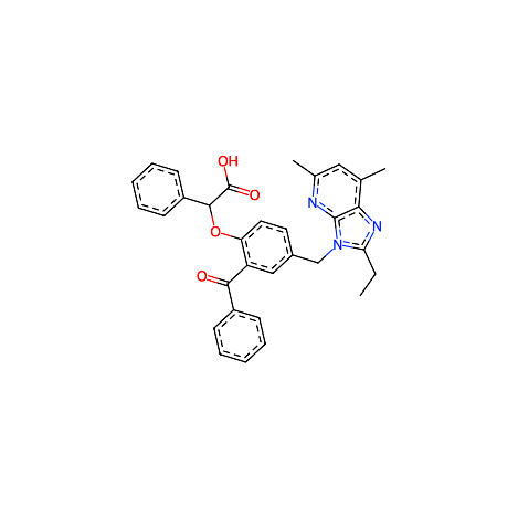 CCc1nc2c(C)cc(C)nc2n1Cc1ccc(OC(C(=O)O)c2ccccc2)c(C(=O)c2ccccc2)c1